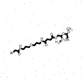 COC(CO)OC(COC(=O)CCC(=O)NCCCOCCCNC(=O)CBr)OC